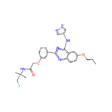 CCCOc1ccc2nc(-c3cccc(OCC(=O)NC(C)(C)CF)c3)nc(Nc3cn[nH]c3)c2c1